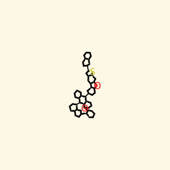 c1ccc2cc(-c3cc4cc5c(cc4s3)oc3ccc(-c4c6ccccc6c(-c6cccc7ccc8c9ccccc9oc8c67)c6ccccc46)cc35)ccc2c1